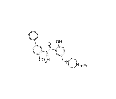 CCCN1CCN(Cc2ccc(O)c(C(=O)Nc3cc(-c4ccccc4)ccc3C(=O)O)c2)CC1